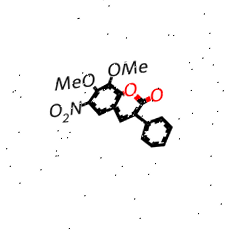 COc1c([N+](=O)[O-])cc2cc(-c3ccccc3)c(=O)oc2c1OC